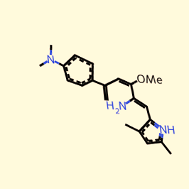 C=C(/C=C(OC)\C(N)=C\c1[nH]c(C)cc1C)c1ccc(N(C)C)cc1